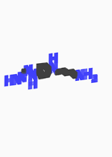 N=N/C=N\Nc1ccc(NCCCCCN)cc1